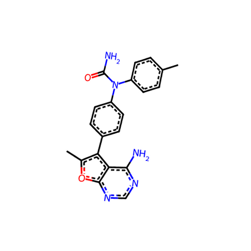 Cc1ccc(N(C(N)=O)c2ccc(-c3c(C)oc4ncnc(N)c34)cc2)cc1